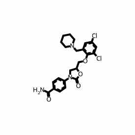 NC(=O)c1ccc(N2CC(COc3c(Cl)cc(Cl)cc3CN3CCCCC3)OC2=O)cc1